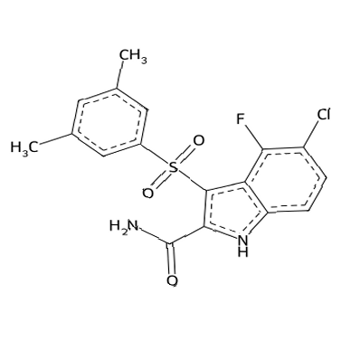 Cc1cc(C)cc(S(=O)(=O)c2c(C(N)=O)[nH]c3ccc(Cl)c(F)c23)c1